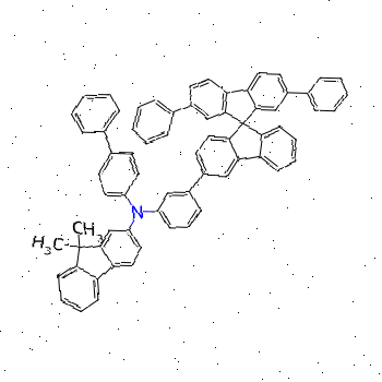 CC1(C)c2ccccc2-c2ccc(N(c3ccc(-c4ccccc4)cc3)c3cccc(-c4ccc5c(c4)-c4ccccc4C54c5cc(-c6ccccc6)ccc5-c5ccc(-c6ccccc6)cc54)c3)cc21